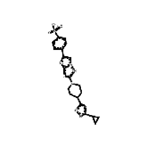 CS(=O)(=O)c1ccc(-c2cn3nc(N4CCC(c5nc(C6CC6)no5)CC4)sc3n2)cc1